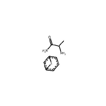 CC(N)C(N)=O.c1cc2cc(c1)S2